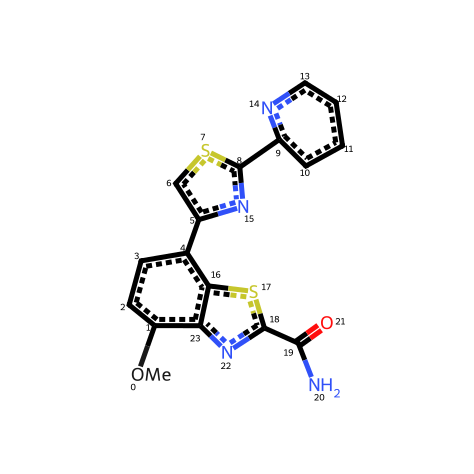 COc1ccc(-c2csc(-c3ccccn3)n2)c2sc(C(N)=O)nc12